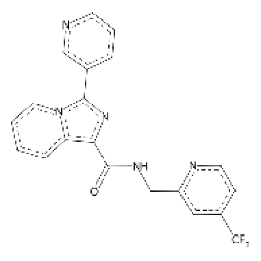 O=C(NCc1cc(C(F)(F)F)ccn1)c1nc(-c2cccnc2)n2ccccc12